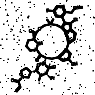 C=CC(=O)N1CC[C@H](C(=O)N(C)[C@H](C(=O)N[C@H]2Cc3cc(O)cc(c3)-c3ccc4c(c3)c(c(-c3cc(F)cnc3COC)n4CC)CC(C)(C)COC(=O)[C@@H]3CCCN(N3)C2=O)C(C)C)C1